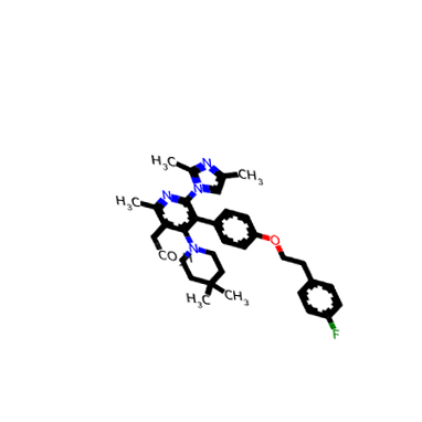 Cc1cn(-c2nc(C)c(CC(=O)O)c(N3CCC(C)(C)CC3)c2-c2ccc(OCCc3ccc(F)cc3)cc2)c(C)n1